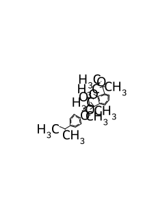 CCC(C)c1ccc(OCCC(=O)Oc2c(C(C)(C)OC)cccc2C(C)(C)OC)cc1